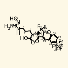 NC(=NO)NCCCC(NC(=O)C1=Cc2cc(S(F)(F)(F)(F)F)ccc2O[C@@H]1C(F)(F)F)C(=O)O